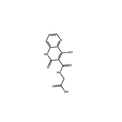 O=C(O)CNC(=O)c1c(O)c2ncccc2[nH]c1=O